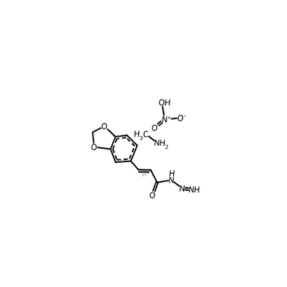 CN.N=NNC(=O)/C=C/c1ccc2c(c1)OCO2.O=[N+]([O-])O